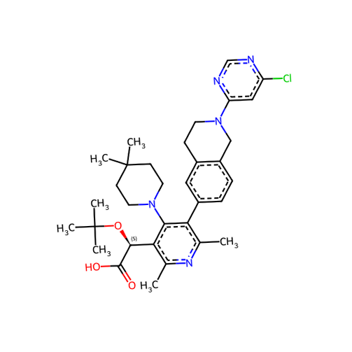 Cc1nc(C)c([C@H](OC(C)(C)C)C(=O)O)c(N2CCC(C)(C)CC2)c1-c1ccc2c(c1)CCN(c1cc(Cl)ncn1)C2